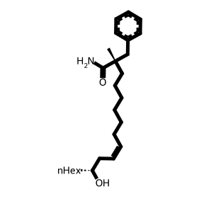 CCCCCC[C@@H](O)C/C=C\CCCCCC[C@@](C)(Cc1ccccc1)C(N)=O